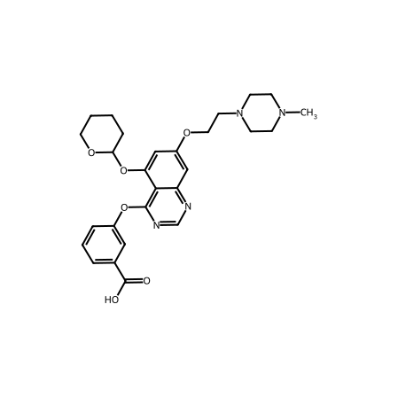 CN1CCN(CCOc2cc(OC3CCCCO3)c3c(Oc4cccc(C(=O)O)c4)ncnc3c2)CC1